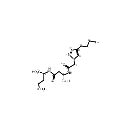 O=C(O)CC[C@H](NC(=O)C[C@H](NC(=O)Cn1cc(CCCF)nn1)C(=O)O)C(=O)O